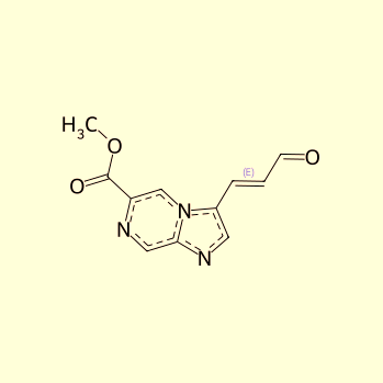 COC(=O)c1cn2c(/C=C/C=O)cnc2cn1